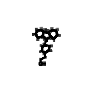 OCCc1ccc(-n2c3ccccc3c3ccccc32)cc1